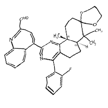 CC1(C)[C@H]2CCc3c(-c4ccccc4F)nc(-c4cc(C=O)nc5ccccc45)nc3[C@]2(C)CCC12OCCO2